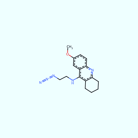 COc1ccc2nc3c(c(NCCN=[N+]=[N-])c2c1)CCCC3